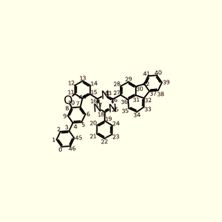 c1ccc(-c2ccc3c(c2)oc2cccc(-c4nc(-c5ccccc5)nc(-c5ccc6c7c(cccc57)-c5ccccc5-6)n4)c23)cc1